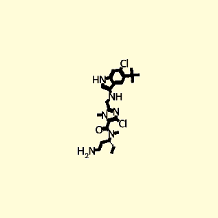 CC[C@H](CCN)N(C)C(=O)c1c(Cl)nc(CNc2c[nH]c3cc(Cl)c(C(C)(C)C)cc23)n1C